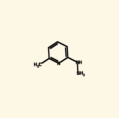 Cc1cccc(N[SiH3])n1